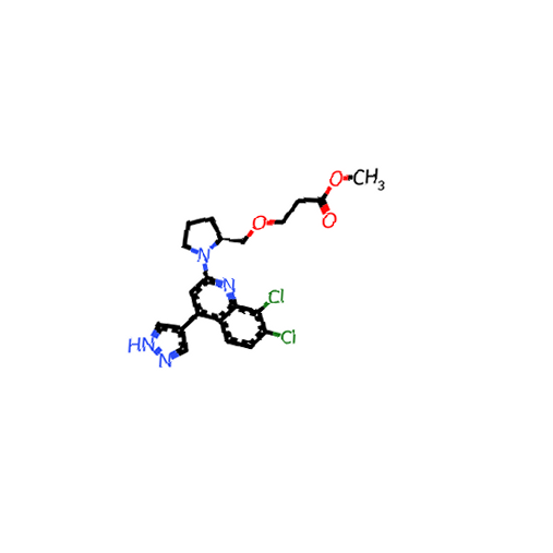 COC(=O)CCOC[C@@H]1CCCN1c1cc(-c2cn[nH]c2)c2ccc(Cl)c(Cl)c2n1